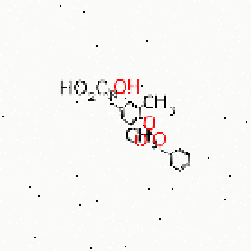 Cc1cc(C[C@@H](O)C(=O)O)cc(C)c1OC(=O)OCc1ccccc1